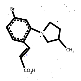 CC1CCN(c2cc(Br)ccc2/C=C/C(=O)O)C1